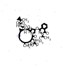 CC1CC/C=C\C2C[C@@]2(C(=O)NS(=O)(=O)C2(C)CC2)NC(=O)[C@@H]2C[C@@H](Oc3nn(C(C)C)c(=O)c4ccccc34)CN2C(=O)[C@@H](NC(=O)O)[C@H](C)C1